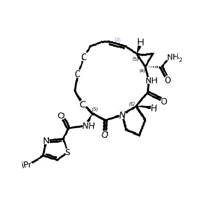 CC(C)c1csc(C(=O)N[C@H]2CCCCC/C=C\[C@@H]3C[C@@]3(C(N)=O)NC(=O)[C@@H]3CCCN3C2=O)n1